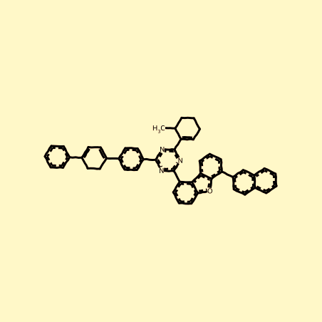 CC1CCCC=C1c1nc(-c2ccc(C3=CC=C(c4ccccc4)CC3)cc2)nc(-c2cccc3oc4c(-c5ccc6ccccc6c5)cccc4c23)n1